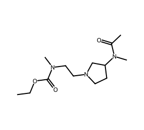 CCOC(=O)N(C)CCN1CCC(N(C)C(C)=O)C1